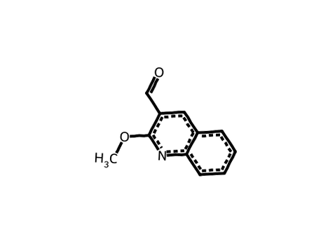 COc1nc2ccccc2cc1C=O